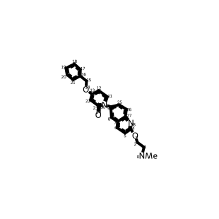 CNCCOc1ccc2cc(-n3ccc(OCc4ccccc4)cc3=O)ccc2n1